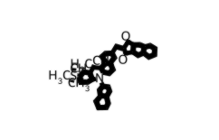 CC1(C)c2cc([Si](C)(C)C)ccc2N(c2ccc3ccccc3c2)c2ccc3cc(C=C4C(=O)c5cc6ccccc6cc5C4=O)ccc3c21